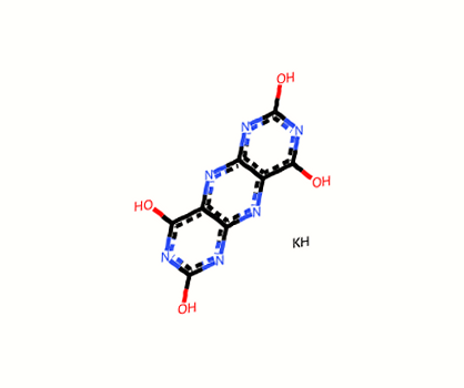 Oc1nc(O)c2nc3nc(O)nc(O)c3nc2n1.[KH]